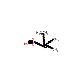 CCCCCCCCC1C(CCCCCC)CCC(CCCCCCCCN2C(=O)c3ccc(O)cc3C2=O)C1CCCCCCCCC(C)CC